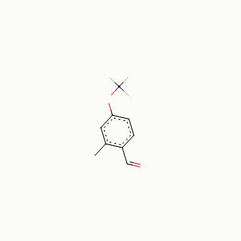 Cc1cc(OC(F)(F)F)ccc1C=O